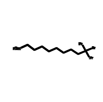 CCCCCCCCCCCCCCCCCC[Si](Br)(C(C)C)C(C)C